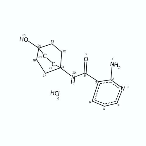 Cl.Nc1ncccc1C(=O)NC12CCC(O)(CC1)CC2